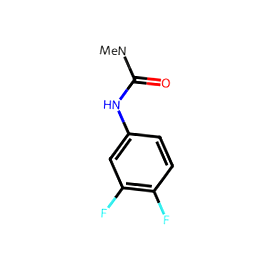 CNC(=O)Nc1ccc(F)c(F)c1